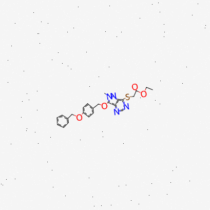 CCOC(=O)CSc1ncnc2c(OCc3ccc(OCc4ccccc4)cc3)n(C)nc12